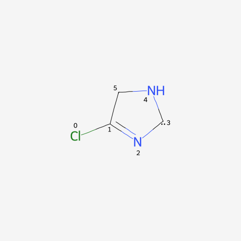 ClC1=N[C]NC1